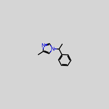 Cc1cn(C(C)c2ccccc2)cn1